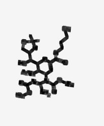 CC(=O)NC1C(C(O)C2COC(C)(C)O2)OC(C(=O)OCCCO)=CC1N(C(=O)OC(C)(C)C)C(N)=NC(=O)OC(C)(C)C